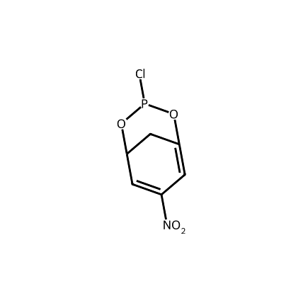 O=[N+]([O-])C1=CC2CC(=C1)OP(Cl)O2